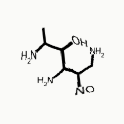 CC(N)C(O)C(N)C(CN)N=O